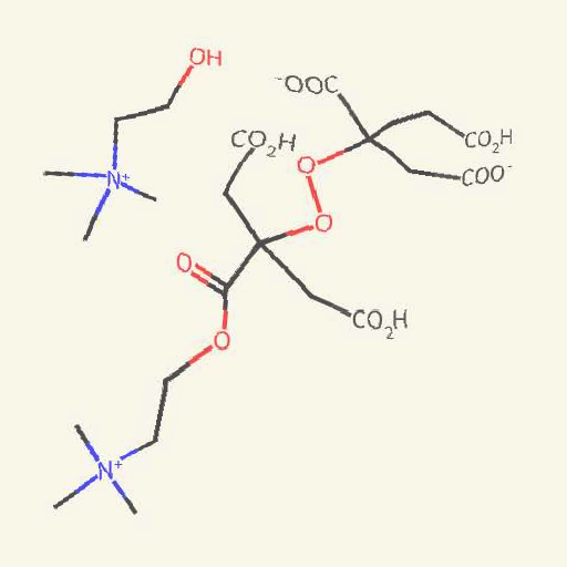 C[N+](C)(C)CCO.C[N+](C)(C)CCOC(=O)C(CC(=O)O)(CC(=O)O)OOC(CC(=O)[O-])(CC(=O)O)C(=O)[O-]